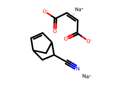 N#CC1CC2C=CC1C2.O=C([O-])/C=C\C(=O)[O-].[Na+].[Na+]